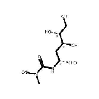 CN(N=O)C(=O)N[C@@H](C=O)C[C@H](O)[C@H](O)CO